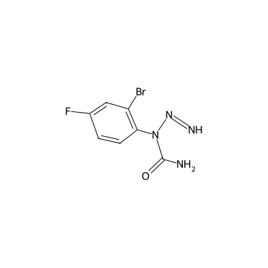 N=NN(C(N)=O)c1ccc(F)cc1Br